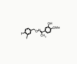 COc1ccc(/C(C)=N/OCc2ccc(F)c(F)c2)cc1O